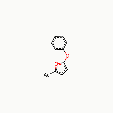 CC(=O)c1ccc(Oc2ccccc2)o1